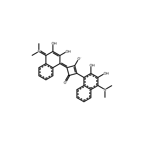 CN(C)c1c(O)c(O)c(C2=C([O-])/C(=C3\C(O)=C(O)C(=[N+](C)C)c4ccccc43)C2=O)c2ccccc12